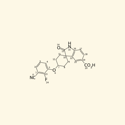 N#Cc1cccc(OC2CCC3(CC2)C(=O)Nc2ccc(C(=O)O)cc23)c1F